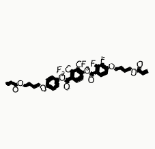 C=CC(=O)OCCCCOc1ccc(OC(=O)c2ccc(OC(=O)c3ccc(OCCCCOC(=O)C=C)c(F)c3F)c(C(F)(F)F)c2C(F)(F)F)cc1